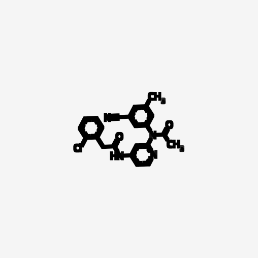 CC(=O)N(c1cc(C)cc(C#N)c1)c1cc(NC(=O)Cc2ccccc2Cl)ccn1